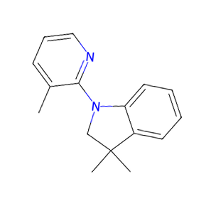 Cc1cccnc1N1CC(C)(C)c2ccccc21